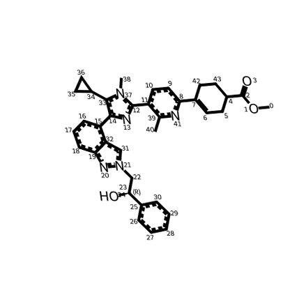 COC(=O)C1CC=C(c2ccc(-c3nc(-c4cccc5nn(C[C@H](O)c6ccccc6)cc45)c(C4CC4)n3C)c(C)n2)CC1